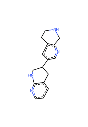 c1cnc2c(c1)CC(c1cnc3c(c1)CCNC3)CN2